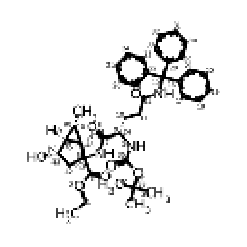 CCOC(=O)[C@]1(NC(=O)[C@H](CCC(=O)NC(c2ccccc2)(c2ccccc2)c2ccccc2)NC(=O)OC(C)(C)C)C[C@H](O)[C@H]2[C@H](C)[C@H]21